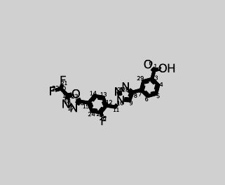 O=C(O)c1cccc(-c2cn(Cc3ccc(-c4nnc(C(F)F)o4)cc3F)nn2)c1